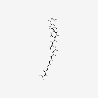 C=C(C)C(=O)OCCCCCCSc1ccc(N=Nc2ccc(S(=O)(=O)c3ccccc3)cc2)cc1